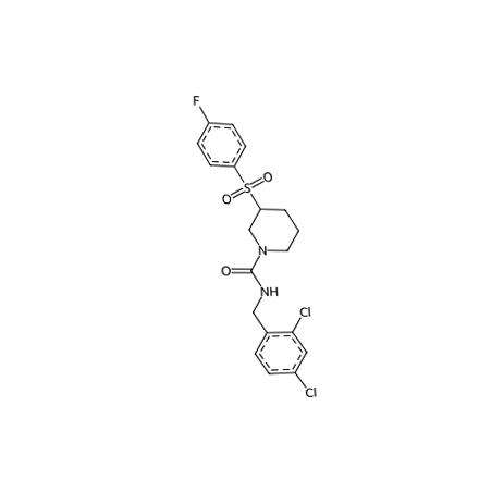 O=C(NCc1ccc(Cl)cc1Cl)N1CCCC(S(=O)(=O)c2ccc(F)cc2)C1